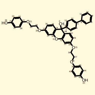 CC1(c2ccc(-c3ccccc3)cc2)c2ccc(OCCOc3ccc(O)cc3)cc2Oc2cc(OCCOc3ccc(O)cc3)ccc21